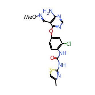 CO/N=C/c1c(N)ncnc1Oc1ccc(NC(=O)Nc2nc(C)cs2)c(Cl)c1